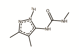 [2H]n1nc(C)c(C)c1NC(=O)NC